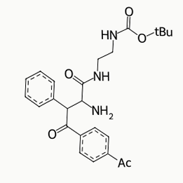 CC(=O)c1ccc(C(=O)C(c2ccccc2)C(N)C(=O)NCCNC(=O)OC(C)(C)C)cc1